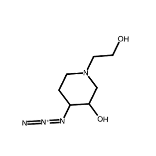 [N-]=[N+]=NC1CCN(CCO)CC1O